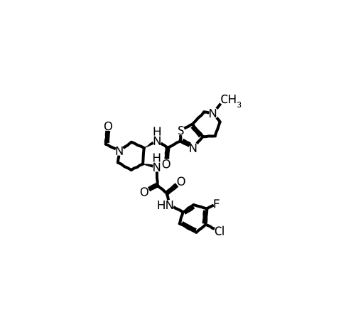 CN1CCc2nc(C(=O)N[C@@H]3CN(C=O)CC[C@@H]3NC(=O)C(=O)Nc3ccc(Cl)c(F)c3)sc2C1